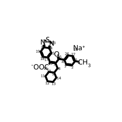 Cc1ccc(C(=O)C(CC2CCCCC2)=C(C(=O)[O-])c2ccc3nsnc3c2)cc1.[Na+]